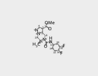 COC(=O)c1cnn2c1CN(C(=O)Nc1ccc(F)c(F)c1)[C@@H](C)C2